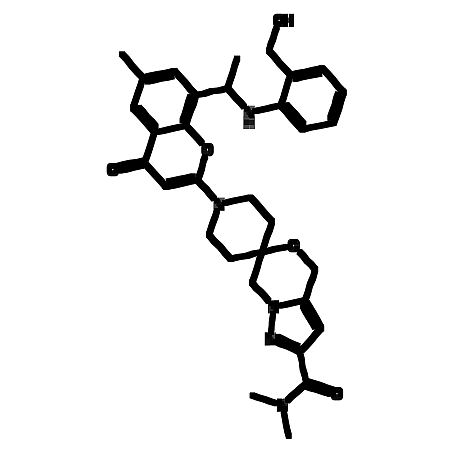 Cc1cc(C(C)Nc2ccccc2CO)c2oc(N3CCC4(CC3)Cn3nc(C(=O)N(C)C)cc3CO4)cc(=O)c2c1